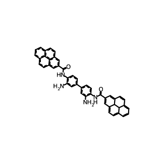 Nc1cc(-c2ccc(NC(=O)c3cc4ccc5cccc6ccc(c3)c4c56)c(N)c2)ccc1NC(=O)C1=CC2=CC=C3C=CC=C4C=CC(=C1)C2C43